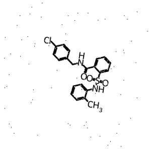 Cc1ccccc1NS(=O)(=O)c1ccccc1C(=O)NCc1ccc(Cl)cc1